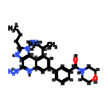 CCCc1nc2c(N)nc3cc(-c4cccc(C(=O)N5CCOCC5)c4)cc(C(C)C)c3c2n1N